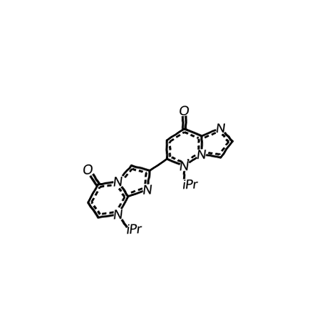 CC(C)n1ccc(=O)n2cc(-c3cc(=O)c4nccn4n3C(C)C)nc12